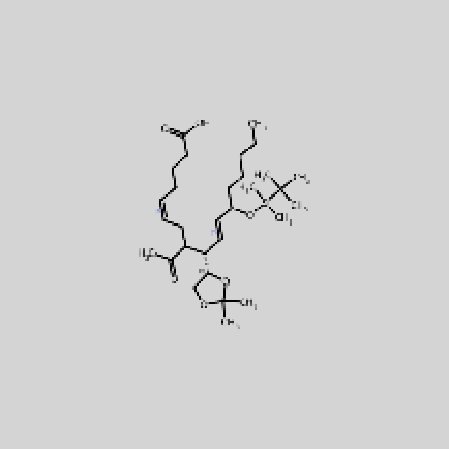 CCCCCC(/C=C/C(C(C/C=C\CCCC(=O)O)C(C)=O)[C@H]1COC(C)(C)O1)O[Si](C)(C)C(C)(C)C